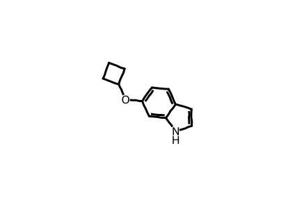 c1cc2ccc(OC3CCC3)cc2[nH]1